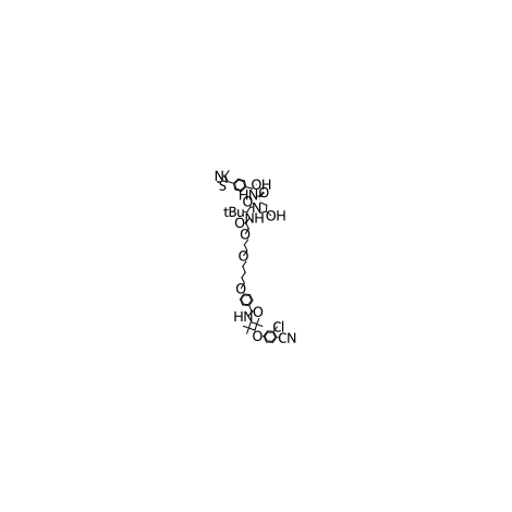 Cc1ncsc1-c1ccc([C@H](O)NC(=O)[C@@H]2C[C@@H](O)CN2C(=O)[C@@H](NC(=O)COCCCOCCCCCOc2ccc(C(=O)N[C@H]3C(C)(C)[C@H](Oc4ccc(C#N)c(Cl)c4)C3(C)C)cc2)C(C)(C)C)cc1